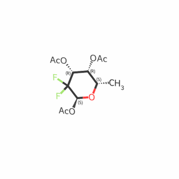 CC(=O)O[C@@H]1[C@H](C)O[C@@H](OC(C)=O)C(F)(F)[C@@H]1OC(C)=O